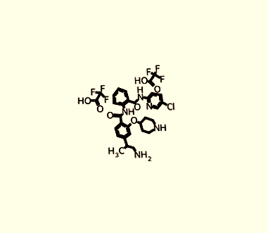 CC(CN)c1ccc(C(=O)Nc2ccccc2C(=O)Nc2ccc(Cl)cn2)c(OC2CCNCC2)c1.O=C(O)C(F)(F)F.O=C(O)C(F)(F)F